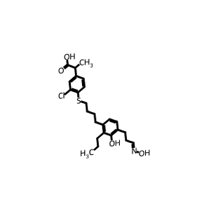 CCCc1c(CCCCSc2ccc(C(C)C(=O)O)cc2Cl)ccc(CCC=NO)c1O